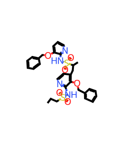 CCCS(=O)(=O)Nc1nccc(CC(C)S(=O)(=O)Nc2ncccc2OCc2ccccc2)c1OCc1ccccc1